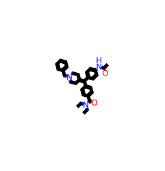 CCN(CC)C(=O)c1ccc(C(=C2CCN(Cc3ccccc3)CC2)c2ccc(NC(C)=O)cc2)cc1